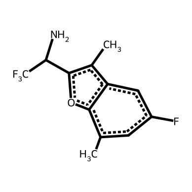 Cc1c(C(N)C(F)(F)F)oc2c(C)cc(F)cc12